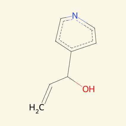 C=CC(O)c1ccncc1